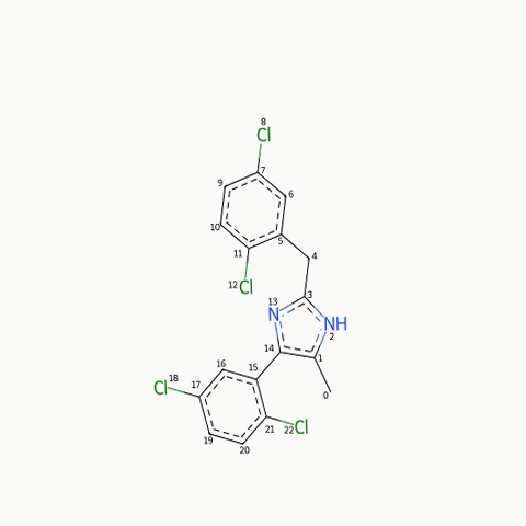 Cc1[nH]c(Cc2cc(Cl)ccc2Cl)nc1-c1cc(Cl)ccc1Cl